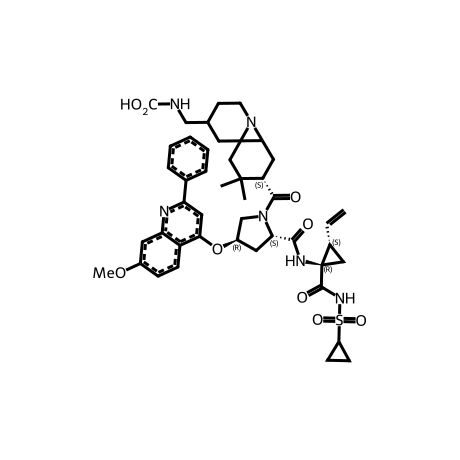 C=C[C@@H]1C[C@]1(NC(=O)[C@@H]1C[C@@H](Oc2cc(-c3ccccc3)nc3cc(OC)ccc23)CN1C(=O)[C@H]1CC2N3CCC(CNC(=O)O)CC23CC1(C)C)C(=O)NS(=O)(=O)C1CC1